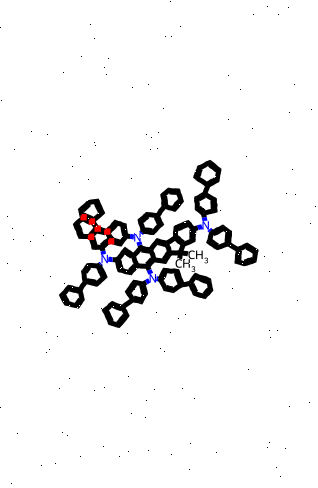 CC1(C)c2cc(N(c3ccc(-c4ccccc4)cc3)c3ccc(-c4ccccc4)cc3)ccc2-c2cc3c(N(c4ccc(-c5ccccc5)cc4)c4ccc(-c5ccccc5)cc4)c4cc(N(c5ccc(-c6ccccc6)cc5)c5ccc(-c6ccccc6)cc5)ccc4c(N(c4ccc(-c5ccccc5)cc4)c4ccc(-c5ccccc5)cc4)c3cc21